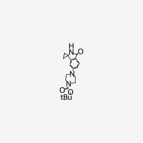 CC(C)(C)OC(=O)N1CCN(c2ccc3c(c2)C2(CC2)NC3=O)CC1